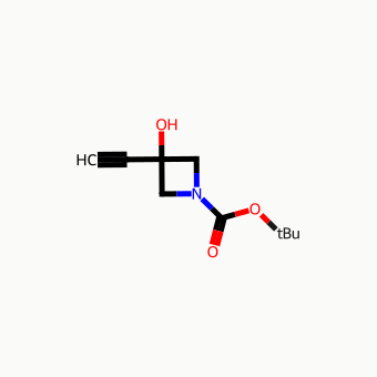 C#CC1(O)CN(C(=O)OC(C)(C)C)C1